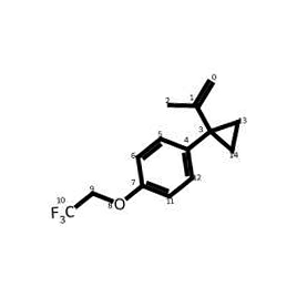 C=C(C)C1(c2ccc(OCC(F)(F)F)cc2)CC1